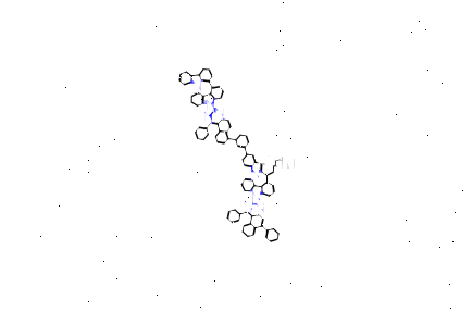 C=C/C=c1/c2cccc3c2c2c(cccc2n2c1c(C)c1cc(-c4cccc(-c5cccc6c5ccc5nc(-n7c8cccc9c%10cccc%11c%12ccccc%12n(c%12cccc7c%12c98)c%10%11)nc(-c7ccccc7)c56)c4)ccc12)n3-c1nc(-c2ccccc2)c2c(cc(-c3ccccc3)c3ccccc32)n1